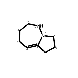 C1=C2CCCN2NCCC1